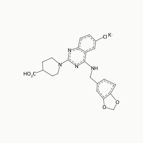 O=C(O)C1CCN(c2nc(NCc3ccc4c(c3)OCO4)c3cc(Cl)ccc3n2)CC1.[K]